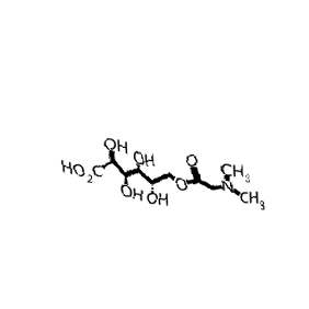 CN(C)CC(=O)OC[C@H](O)[C@H](O)[C@@H](O)[C@H](O)C(=O)O